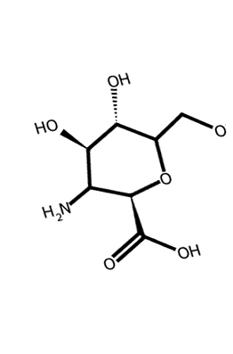 NC1[C@@H](O)[C@H](O)C(CO)O[C@H]1C(=O)O